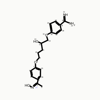 C/C(=N/O)c1ccc(OCCCC(O)COc2ccc(C(=N)N)cc2)cc1